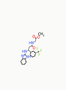 COC(=O)CNC(=O)CC(Nc1nc2ccccc2[nH]1)c1cccc(C(F)(F)F)c1